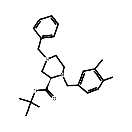 Cc1ccc(CN2CCN(Cc3ccccc3)C[C@@H]2C(=O)OC(C)(C)C)cc1C